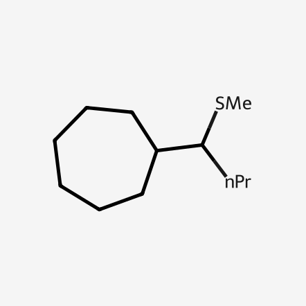 CCCC(SC)C1CCCCCC1